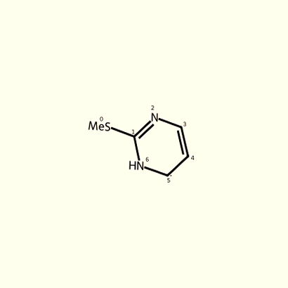 CSC1=NC=C[CH]N1